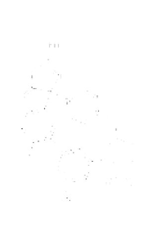 CN1C(=O)C(c2ccc(OC(F)F)cc2)(c2ccc(F)c(-c3cc(C#N)cc(OS(C)(=O)=O)c3)c2)N=C1N.Cl